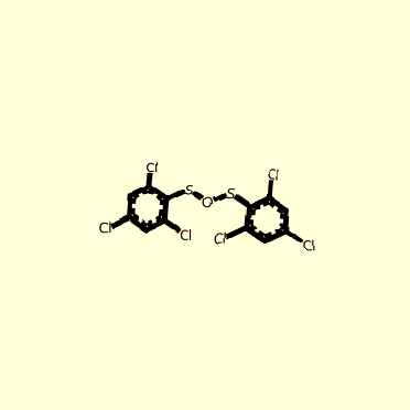 Clc1cc(Cl)c(SOSc2c(Cl)cc(Cl)cc2Cl)c(Cl)c1